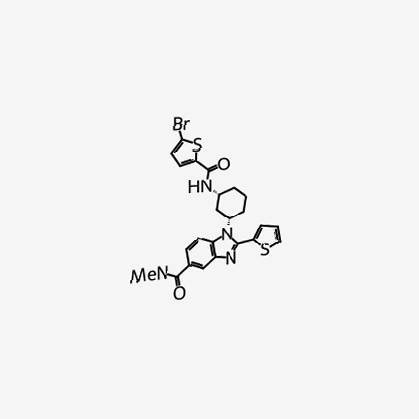 CNC(=O)c1ccc2c(c1)nc(-c1cccs1)n2[C@H]1CCC[C@@H](NC(=O)c2ccc(Br)s2)C1